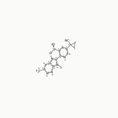 CC[S@+]([O-])c1cc(C2(C#N)CC2)cnc1-c1nc2cc(C(F)(F)F)nnc2n1C